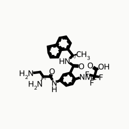 CNc1ccc(NC(=O)[C@H](N)CN)cc1C(=O)N[C@H](C)c1cccc2ccccc12.O=C(O)C(F)(F)F